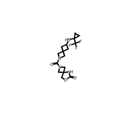 O=C1NC2(CO1)CN(C(=O)N1CC3(CC(NC4(C(F)(F)F)CC4)C3)C1)C2